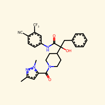 Cc1cc(C(=O)N2CCC(C(O)(Cc3ccccc3)C(=O)Nc3ccc(C#N)c(C(F)(F)F)c3)CC2)n(C)n1